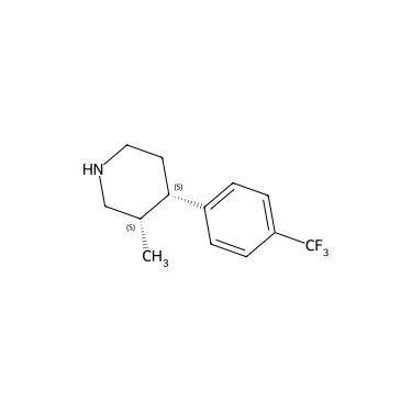 C[C@@H]1CNCC[C@@H]1c1ccc(C(F)(F)F)cc1